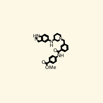 COC(=O)c1ccc(NC(=O)c2cccc(CN3CCCC(Nc4ccc5[nH]ncc5c4)C3)c2)cc1